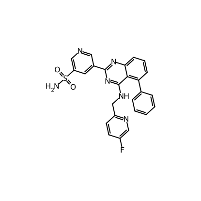 NS(=O)(=O)c1cncc(-c2nc(NCc3ccc(F)cn3)c3c(-c4ccccc4)cccc3n2)c1